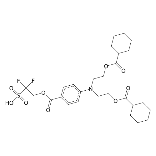 O=C(OCC(F)(F)S(=O)(=O)O)c1ccc(N(CCOC(=O)C2CCCCC2)CCOC(=O)C2CCCCC2)cc1